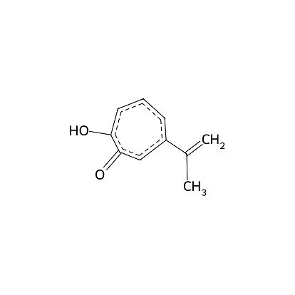 C=C(C)c1cccc(O)c(=O)c1